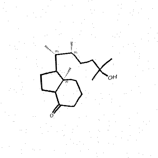 C[C@H](CCC(C)(C)O)[C@@H](C)C1CCC2C(=O)CCC[C@@]21C